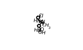 Cc1ncn(Nc2cccc(Cl)c2)c1-c1cccc(C(=O)NO)c1